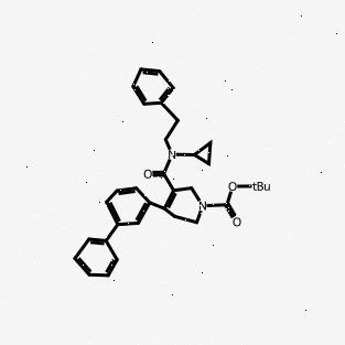 CC(C)(C)OC(=O)N1CCC(c2cccc(-c3ccccc3)c2)=C(C(=O)N(CCc2ccccc2)C2CC2)C1